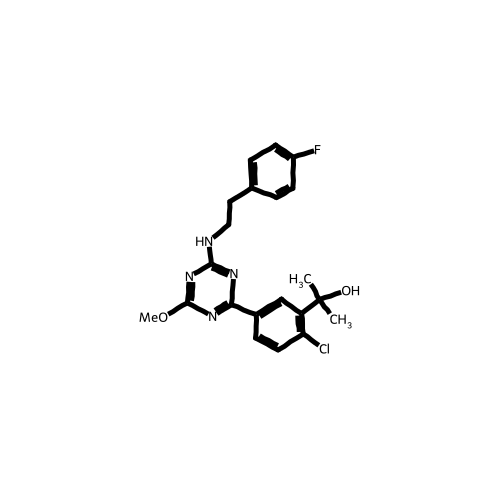 COc1nc(NCCc2ccc(F)cc2)nc(-c2ccc(Cl)c(C(C)(C)O)c2)n1